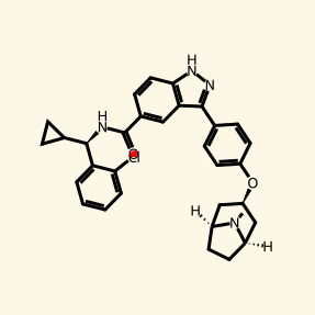 CN1[C@@H]2CC[C@H]1C[C@@H](Oc1ccc(-c3n[nH]c4ccc(C(=O)N[C@@H](c5ccccc5Cl)C5CC5)cc34)cc1)C2